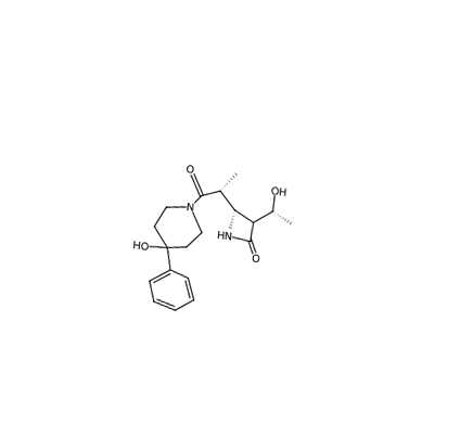 C[C@@H](O)C1C(=O)N[C@@H]1[C@@H](C)C(=O)N1CCC(O)(c2ccccc2)CC1